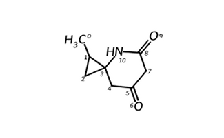 CC1CC12CC(=O)CC(=O)N2